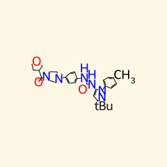 Cc1ccc(-n2nc(C(C)(C)C)cc2NC(=O)Nc2ccc(N3CCN(C(=O)C4CCOC4)CC3)cc2)cc1